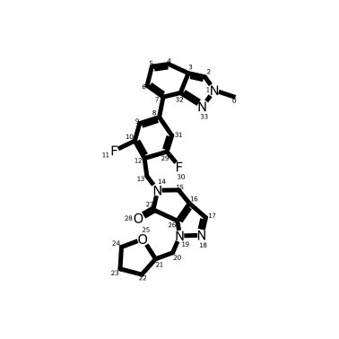 Cn1cc2cccc(-c3cc(F)c(CN4Cc5cnn(CC6CCCO6)c5C4=O)c(F)c3)c2n1